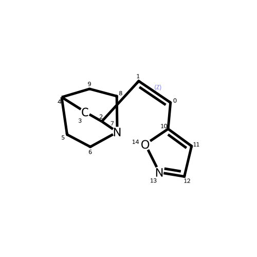 C(=C/C1CC2CCN1CC2)/c1ccno1